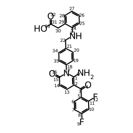 Nc1c(C(=O)c2ccc(F)cc2F)ccc(=O)n1-c1ccc(CNc2ccccc2CC(=O)O)cc1